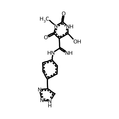 Cn1c(=O)[nH]c(O)c(C(=N)Nc2ccc(-c3c[nH]nn3)cc2)c1=O